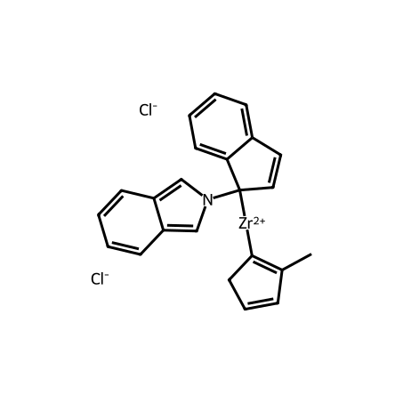 CC1=[C]([Zr+2][C]2(n3cc4ccccc4c3)C=Cc3ccccc32)CC=C1.[Cl-].[Cl-]